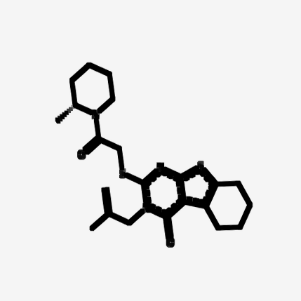 C=C(C)Cn1c(SCC(=O)N2CCCC[C@H]2C)nc2sc3c(c2c1=O)CCCC3